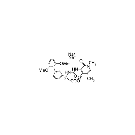 COc1cccc(OC)c1-c1cccc([C@H](CC(=O)[O-])NC(=O)Nc2c([O-])c(C)cn(C)c2=O)c1.[Na+].[Na+]